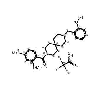 CCOc1ccccc1CN1CCC2(CC1)CCN(C(=O)c1ccc(SC)cc1OC)CC2.O=C(O)C(F)(F)F